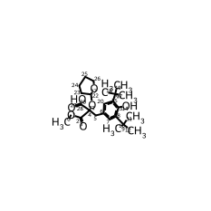 COC(=O)C(Cc1cc(C(C)(C)C)c(O)c(C(C)(C)C)c1)(OC1CCCCO1)C(=O)O